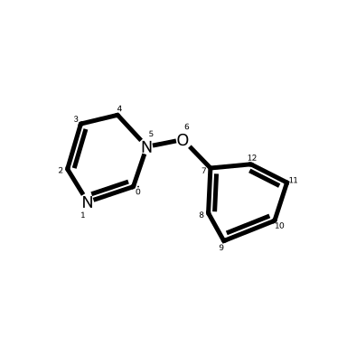 [C]1=NC=CCN1Oc1ccccc1